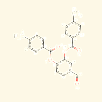 Cc1ccc(C(=O)Oc2ccc(C=O)cc2OC(=O)c2ccc(C)cc2)cc1